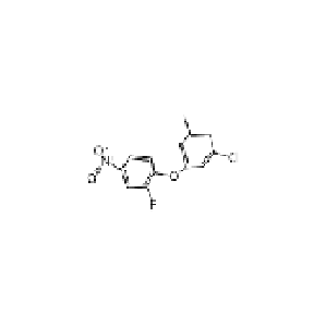 Cc1cc(Cl)cc(Oc2ccc([N+](=O)[O-])cc2F)c1